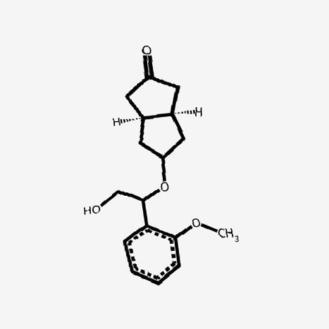 COc1ccccc1C(CO)OC1C[C@H]2CC(=O)C[C@H]2C1